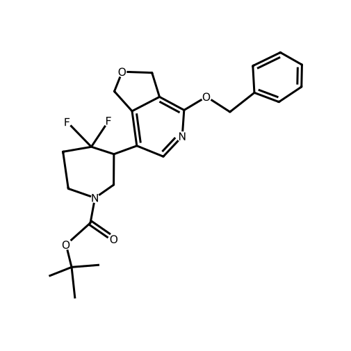 CC(C)(C)OC(=O)N1CCC(F)(F)C(c2cnc(OCc3ccccc3)c3c2COC3)C1